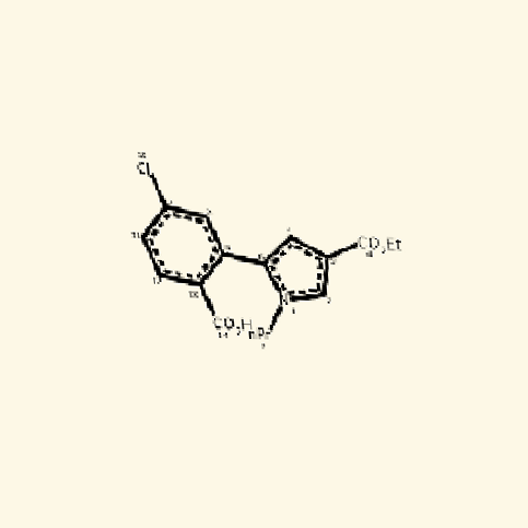 CCCn1cc(C(=O)OCC)cc1-c1cc(Cl)ccc1C(=O)O